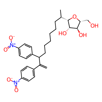 C=C(c1ccc([N+](=O)[O-])cc1)C(CCCCCCC(C)[C@@H]1O[C@H](CO)[C@@H](O)[C@@H]1O)c1ccc([N+](=O)[O-])cc1